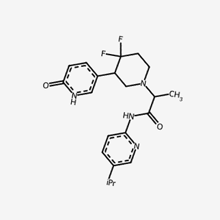 CC(C)c1ccc(NC(=O)C(C)N2CCC(F)(F)C(c3ccc(=O)[nH]c3)C2)nc1